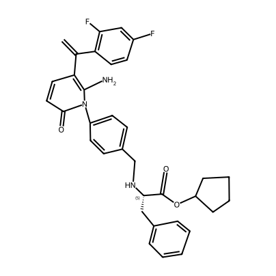 C=C(c1ccc(F)cc1F)c1ccc(=O)n(-c2ccc(CN[C@@H](Cc3ccccc3)C(=O)OC3CCCC3)cc2)c1N